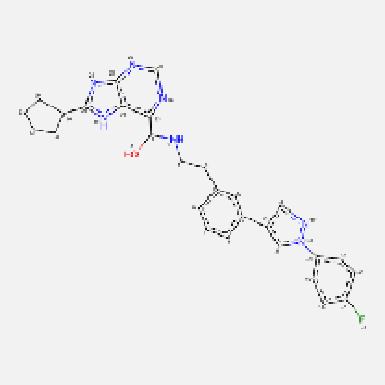 OC(NCCc1cccc(-c2cnn(-c3ccc(F)cc3)c2)c1)c1ncnc2nc(C3CCCC3)[nH]c12